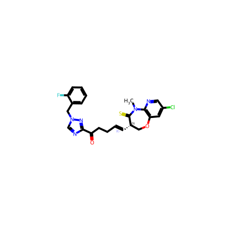 CN1C(=S)[C@@H](/C=C/CCC(=O)c2ncn(Cc3ccccc3F)n2)COc2cc(Cl)cnc21